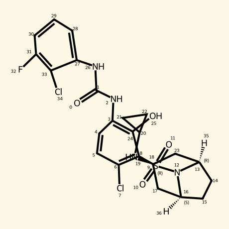 O=C(Nc1ccc(Cl)c(S(=O)(=O)N2[C@@H]3CC[C@H]2C[C@@H](NC2CC2)C3)c1O)Nc1cccc(F)c1Cl